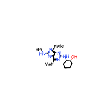 CCCNc1nc(NC)c2nc(N[C@H]3CCCC[C@@H]3O)nc(NC)c2n1